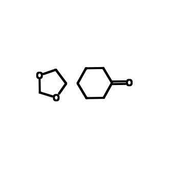 C1COCO1.O=C1CCCCC1